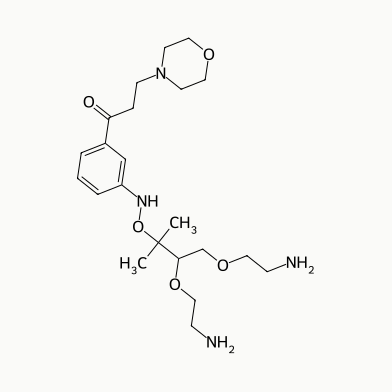 CC(C)(ONc1cccc(C(=O)CCN2CCOCC2)c1)C(COCCN)OCCN